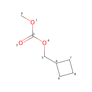 COC(=O)OCC1CCC1